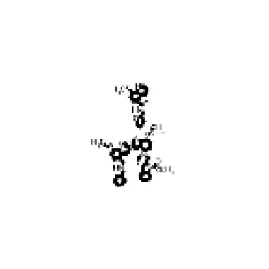 COC(=O)N1c2ccccc2CC1CN(C=O)c1ccc(SSC)c2ncccc12.CSSc1ccc(CNCc2ccccc2)c2cccnc12.CSc1ccc(C(=O)NCC2CCCO2)c2cccnc12